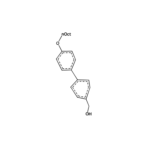 CCCCCCCCOc1ccc(-c2ccc(CO)cc2)cc1